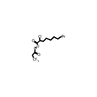 CC(C)CCCCCC(Cl)C(=O)OOC(=O)CC(F)(F)F